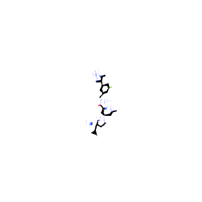 Cc1cc(N2CC[C@@](C#N)(C3CC3)C2=O)cc(C(=O)NCc2cc(F)cc(-c3cnn(C)c3C)c2)n1